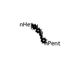 CCCCCCc1cnc(-c2ccc(OCCCC3CCC(CCCCC)CC3)cc2)cn1